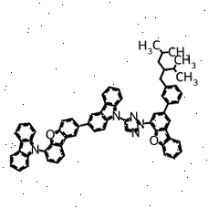 CC(C)CC(Cc1cccc(-c2cc(-n3ncc(-n4c5ccccc5c5cc(-c6ccc7oc8c(-n9c%10ccccc%10c%10ccccc%109)cccc8c7c6)ccc54)n3)c3oc4ccccc4c3c2)c1)C(C)C